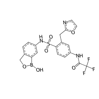 O=C(Nc1ccc(S(=O)(=O)Nc2ccc3c(c2)B(O)OC3)c(Cc2ncco2)c1)C(F)(F)F